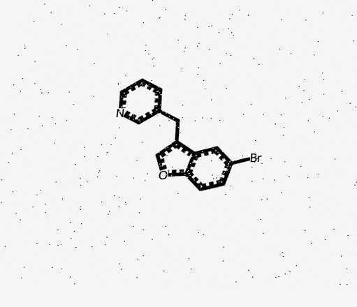 Brc1ccc2occ(Cc3cccnc3)c2c1